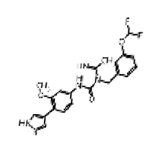 COc1cc(NC(=O)N(Cc2cccc(OC(F)F)c2)C(C)=N)ccc1-c1cn[nH]c1